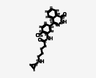 O=C(CCCCNC1CC1)Nc1cc(-c2n[nH]c(=O)c3ccccc23)ccc1Cl